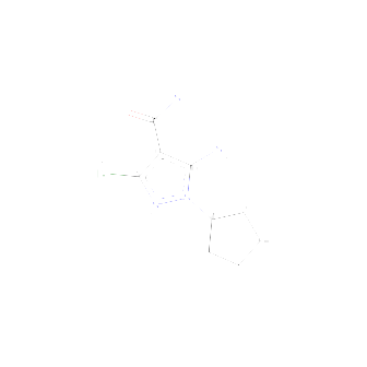 NC(=O)c1c(Br)nn(C2CCCC2)c1N